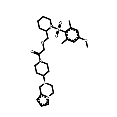 COc1cc(C)c(S(=O)(=O)N2CCCCC2COCC(=O)N2CCC(N3CCn4cccc4C3)CC2)c(C)c1